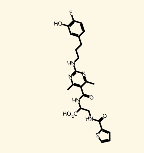 Cc1nc(NCCCc2ccc(F)c(O)c2)nc(C)c1C(=O)NC(CNC(=O)c1cccs1)C(=O)O